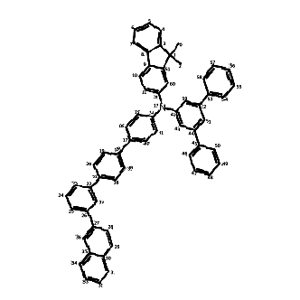 CC1(C)c2ccccc2-c2ccc(N(c3ccc(-c4ccc(-c5cccc(-c6ccc7ccccc7c6)c5)cc4)cc3)c3cc(-c4ccccc4)cc(-c4ccccc4)c3)cc21